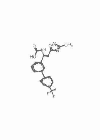 Cc1noc(CC(NC(=O)O)c2cccc(-c3ccc(C(F)(F)F)cc3)c2)n1